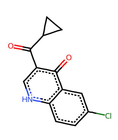 O=C(c1c[nH]c2ccc(Cl)cc2c1=O)C1CC1